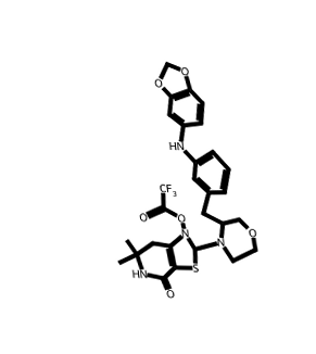 CC1(C)CC2=C(SC(N3CCOCC3Cc3cccc(Nc4ccc5c(c4)OCO5)c3)N2OC(=O)C(F)(F)F)C(=O)N1